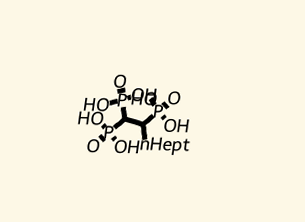 CCCCCCCC(C(P(=O)(O)O)P(=O)(O)O)P(=O)(O)O